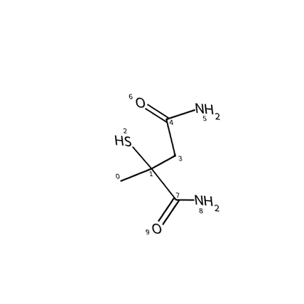 CC(S)(CC(N)=O)C(N)=O